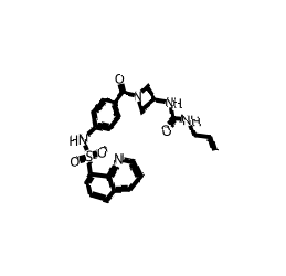 C=CCNC(=O)NC1CN(C(=O)c2ccc(NS(=O)(=O)c3cccc4cccnc34)cc2)C1